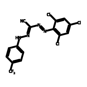 N#CC(N=Nc1c(Cl)cc(Cl)cc1Cl)=NNc1ccc(C(F)(F)F)cc1